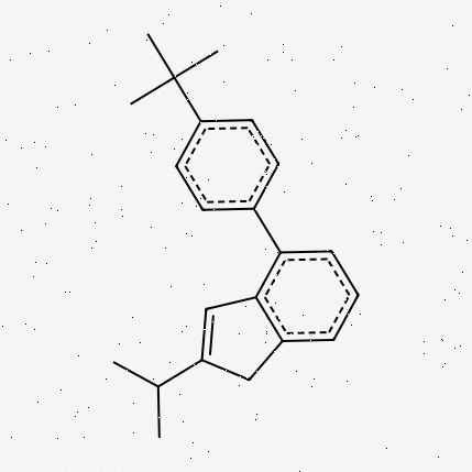 CC(C)C1=Cc2c(cccc2-c2ccc(C(C)(C)C)cc2)C1